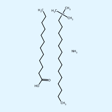 CCCCCCCCCCCC(=O)O.CCCCCCCCCCCCCC[N+](C)(C)C.N